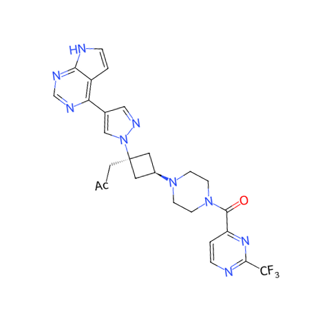 CC(=O)C[C@]1(n2cc(-c3ncnc4[nH]ccc34)cn2)C[C@@H](N2CCN(C(=O)c3ccnc(C(F)(F)F)n3)CC2)C1